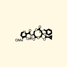 COc1ccnc(C(=O)N[C@H]2COC(=O)[C@H](Cc3ccccc3)[C@@H](OC(=O)C3CC3)[C@H](C)OC2=O)c1O